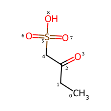 CCC(=O)CS(=O)(=O)O